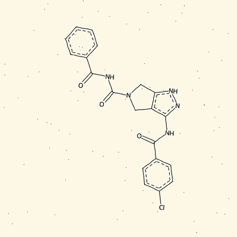 O=C(NC(=O)N1Cc2[nH]nc(NC(=O)c3ccc(Cl)cc3)c2C1)c1ccccc1